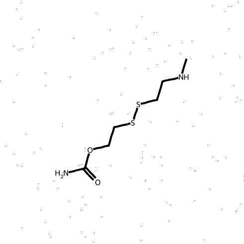 CNCCSSCCOC(N)=O